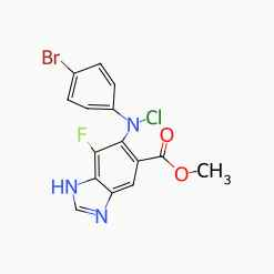 COC(=O)c1cc2nc[nH]c2c(F)c1N(Cl)c1ccc(Br)cc1